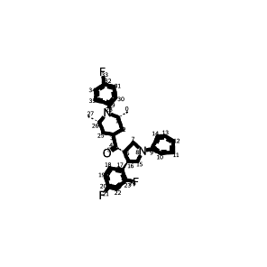 C[C@@H]1CC(C(=O)[C@@H]2CN(c3ccccc3)C[C@H]2c2ccc(F)cc2F)C[C@H](C)N1c1ccc(F)cc1